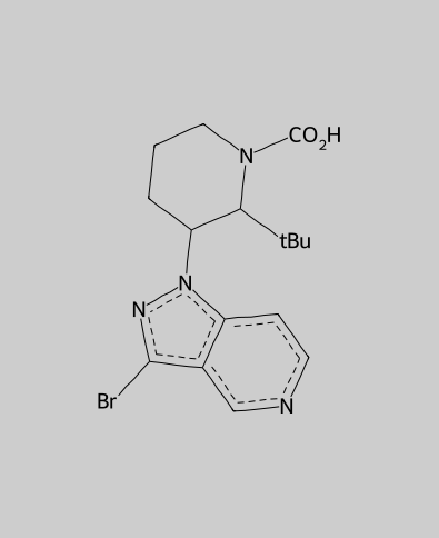 CC(C)(C)C1C(n2nc(Br)c3cnccc32)CCCN1C(=O)O